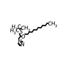 CCCCCCCCCCCCOC(CSC(C)(C)C)Cn1ccnc1